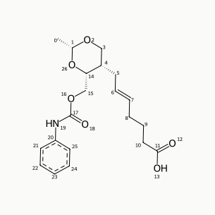 C[C@@H]1OC[C@H](CC=CCCCC(=O)O)[C@H](COC(=O)Nc2ccccc2)O1